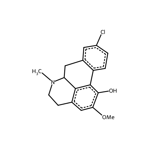 COc1cc2c3c(c1O)-c1ccc(Cl)cc1CC3N(C)CC2